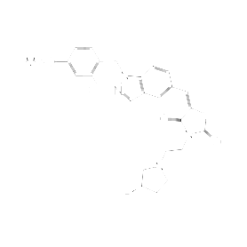 COc1ccc(Cn2ncc3cc(C=C4SC(=O)N(CCN5CC[C@@H](F)C5)C4=O)ccc32)c(C(F)(F)F)c1